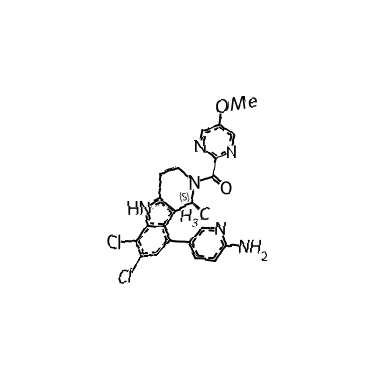 COc1cnc(C(=O)N2CCc3[nH]c4c(Cl)c(Cl)cc(-c5ccc(N)nc5)c4c3[C@@H]2C)nc1